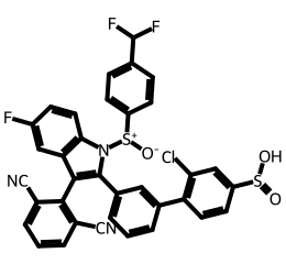 N#Cc1cccc(C#N)c1-c1c(-c2cccc(-c3ccc(S(=O)O)cc3Cl)c2)n([S+]([O-])c2ccc(C(F)F)cc2)c2ccc(F)cc12